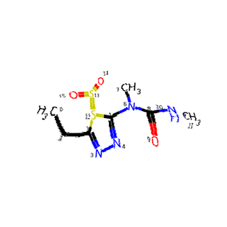 CCC1=NN=C(N(C)C(=O)NC)S1=S(=O)=O